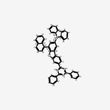 c1ccc(-c2nc(-c3ccccc3)nc(-c3ccc4c(c3)oc3c(-c5cccc6ccccc56)cc(-n5c6ccccc6c6ccccc65)cc34)n2)cc1